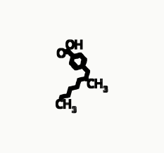 CCCCCCC(C)Cc1ccc(C(=O)O)cc1